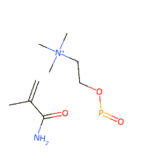 C=C(C)C(N)=O.C[N+](C)(C)CCOP=O